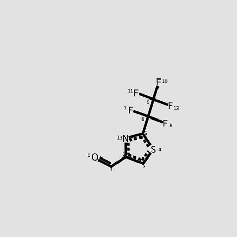 O=Cc1csc(C(F)(F)C(F)(F)F)n1